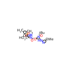 COc1ccnc(NC[C@@H]2C[C@@H](OCC(=O)NC[C@H](NS(=O)(=O)c3c(C)cc(C)cc3C)C(=O)O)CN2C(=O)CC(C)(C)C)c1